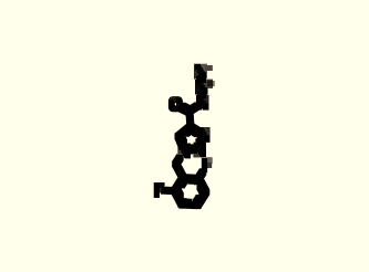 [N-]=[N+]=NC(=O)c1cn(Cc2c(F)cccc2F)nn1